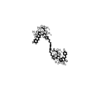 CN[C@@H](C)C(=O)N[C@H](C(=O)N1CC(C)(C)c2[nH]c(=O)c(Cc3ccc(F)cc3)cc21)[C@H](C)n1cc(CCCC#CC#CCCCc2cn([C@@H](C)[C@H](NC(=O)[C@H](C)NC)C(=O)N3CC(C)(C)c4[nH]c(=O)c(Cc5ccc(F)cc5)cc43)nn2)nn1